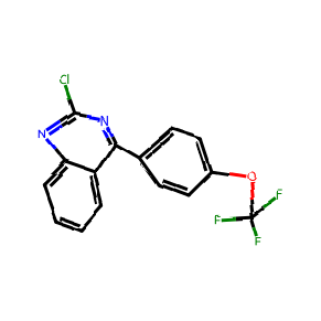 FC(F)(F)Oc1ccc(-c2nc(Cl)nc3ccccc23)cc1